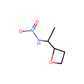 CC(N[N+](=O)[O-])C1CCO1